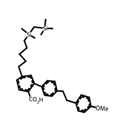 COc1ccc(CCc2ccc(-c3cc(CCCCC[Si](C)(C)C[Si](C)(C)C)ccc3C(=O)O)cc2)cc1